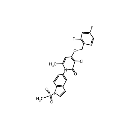 Cc1cc(OCc2ccc(F)cc2F)c(Cl)c(=O)n1-c1ccc2c(ccn2S(C)(=O)=O)c1